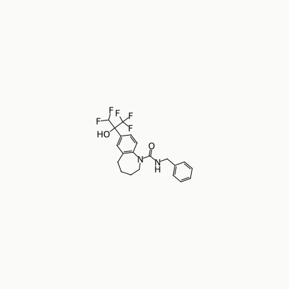 O=C(NCc1ccccc1)N1CCCCc2cc(C(O)(C(F)F)C(F)(F)F)ccc21